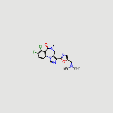 CCCN(CCC)Cc1cnc(-c2ncn3c2CN(C)C(=O)c2c-3ccc(F)c2Cl)o1